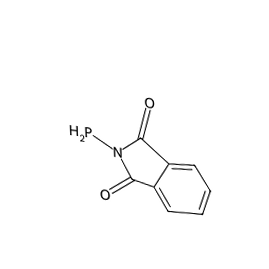 O=C1c2ccccc2C(=O)N1P